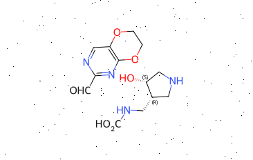 O=C(O)NC[C@H]1CNC[C@H]1O.O=Cc1ncc2c(n1)OCCO2